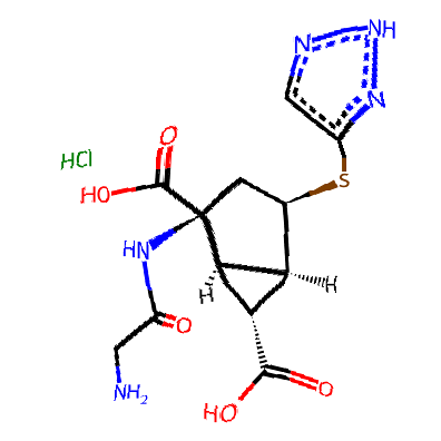 Cl.NCC(=O)N[C@@]1(C(=O)O)C[C@@H](Sc2cn[nH]n2)[C@H]2[C@H](C(=O)O)[C@H]21